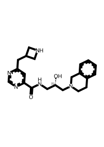 O=C(NC[C@H](O)CN1CCc2ccccc2C1)c1cc(CC2CNC2)ncn1